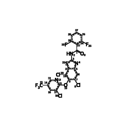 O=C(Nc1nc2cc(Cl)c(Oc3ncc(C(F)(F)F)cc3Cl)c(Cl)c2s1)c1c(F)cccc1F